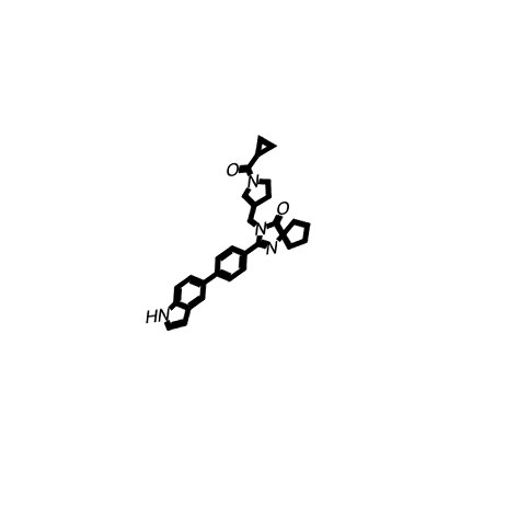 O=C(C1CC1)N1CCC(CN2C(=O)C3(CCCC3)N=C2c2ccc(-c3ccc4[nH]ccc4c3)cc2)C1